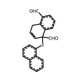 O=Cc1cccc2c1CC=CC2(C=O)Sc1cccc2ccccc12